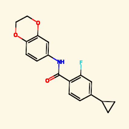 O=C(Nc1ccc2c(c1)OCCO2)c1ccc(C2CC2)cc1F